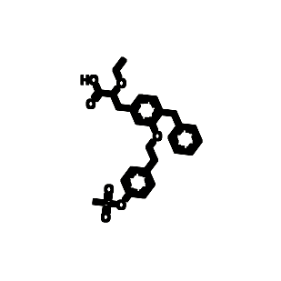 CCOC(Cc1ccc(Cc2ccccc2)c(OCCc2ccc(OS(C)(=O)=O)cc2)c1)C(=O)O